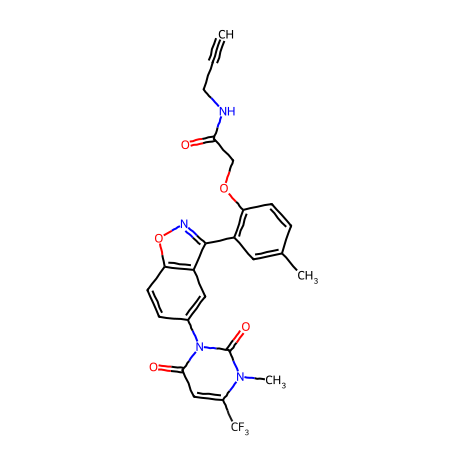 C#CCNC(=O)COc1ccc(C)cc1-c1noc2ccc(-n3c(=O)cc(C(F)(F)F)n(C)c3=O)cc12